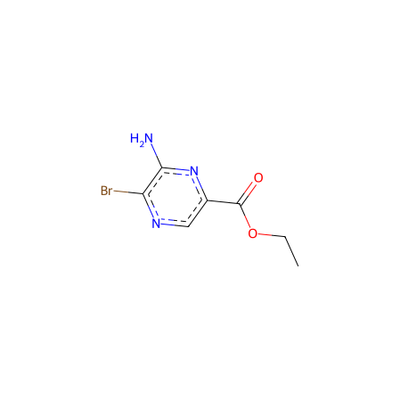 CCOC(=O)c1cnc(Br)c(N)n1